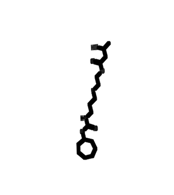 CC(S)CC(=O)OCCSCCCNC(=O)OC1CCCCCC1